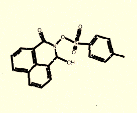 Cc1ccc(S(=O)(=O)ON2C(=O)c3cccc4cccc(c34)C2O)cc1